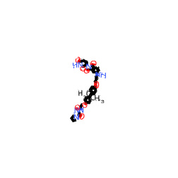 CC(C)(c1ccc(OCCCNc2ccc3c(c2)C(=O)N(C2CCC(=O)NC2=O)C3=O)cc1)c1ccc(OCc2nc(C(=O)N3CCCC3)no2)cc1